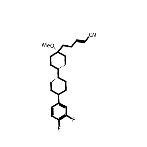 CO[C@]1(CCC=CC#N)CC[C@H]([C@H]2CC[C@H](c3ccc(F)c(F)c3)CC2)CC1